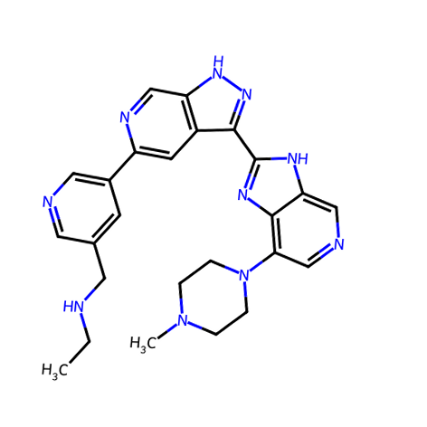 CCNCc1cncc(-c2cc3c(-c4nc5c(N6CCN(C)CC6)cncc5[nH]4)n[nH]c3cn2)c1